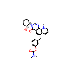 CN(C)C(=O)Oc1cccc(Cc2cc3c(=O)n([C@H]4CCCC[C@@H]4O)cnc3c3c2C=CCN3C)c1